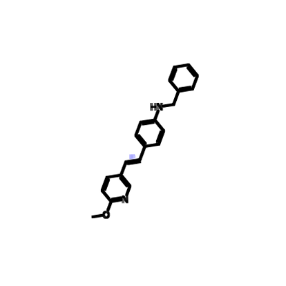 COc1ccc(/C=C/c2ccc(NCc3ccccc3)cc2)cn1